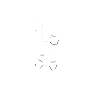 O=C(OCC(CCC1CCNCC1)c1cccnc1)C1(O)c2ccccc2-c2ccccc21